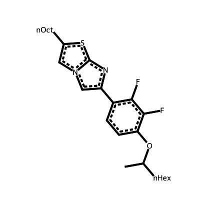 CCCCCCCCc1cn2cc(-c3ccc(OC(C)CCCCCC)c(F)c3F)nc2s1